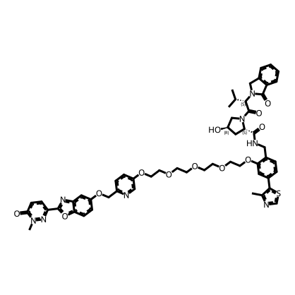 Cc1ncsc1-c1ccc(CNC(=O)[C@@H]2C[C@@H](O)CN2C(=O)[C@H](C(C)C)N2Cc3ccccc3C2=O)c(OCCOCCOCCOCCOc2ccc(COc3ccc4oc(-c5ccc(=O)n(C)n5)nc4c3)nc2)c1